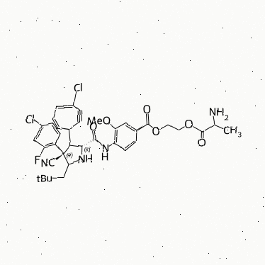 COc1cc(C(=O)OCCOC(=O)C(C)N)ccc1NC(=O)[C@@H]1NC(CC(C)(C)C)[C@](C#N)(c2ccc(Cl)cc2F)C1C1C#CC(Cl)=CC=C1